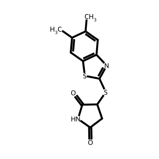 Cc1cc2nc(SC3CC(=O)NC3=O)sc2cc1C